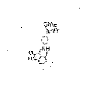 CCCN(COC)c1ccc(N/C=C2/C(=O)Nc3cccc(F)c32)cc1